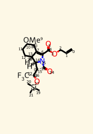 C=CCOC(=O)C1=C2[C@@H](OC)CCC[C@@H]2[C@@H]2[C@@H]([C@H](O[Si](C)(C)C)C(F)(F)F)C(=O)N12